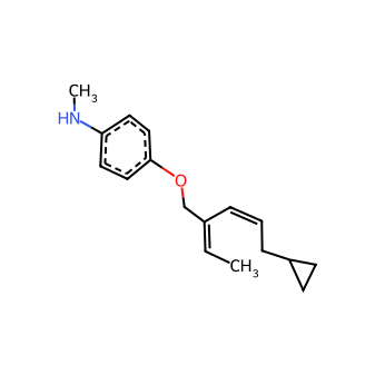 C/C=C(\C=C/CC1CC1)COc1ccc(NC)cc1